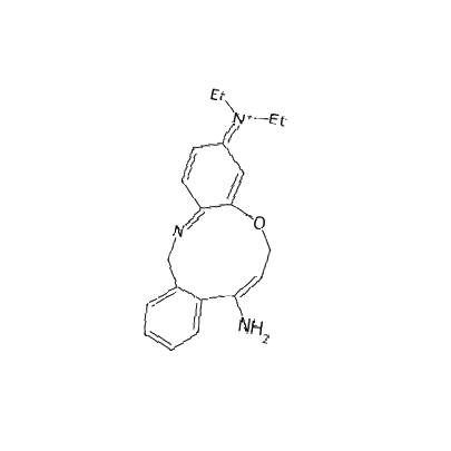 CC[N+](CC)=C1C=C/C2=N/Cc3ccccc3/C(N)=C\COC2=C1